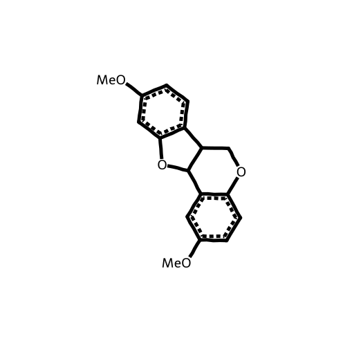 COc1ccc2c(c1)OC1c3cc(OC)ccc3OCC21